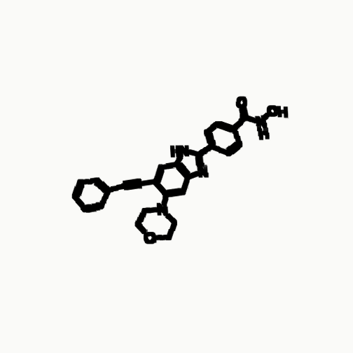 O=C(NO)c1ccc(-c2nc3cc(N4CCOCC4)c(C#Cc4ccccc4)cc3[nH]2)cc1